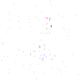 O=C(COc1ccc(-c2c(-c3ccc(Cl)cc3)nc3sc4ccccc4n23)cc1)Oc1ccc([N+](=O)[O-])cc1